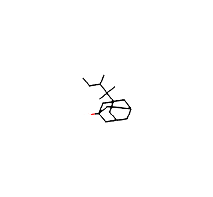 CCC(C)C(C)(C)C12CC3CC(CC(O)(C3)C1)C2